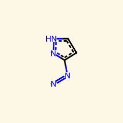 [N]=Nc1cc[nH]n1